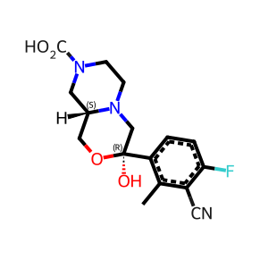 Cc1c([C@]2(O)CN3CCN(C(=O)O)C[C@H]3CO2)ccc(F)c1C#N